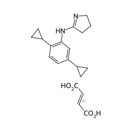 O=C(O)/C=C/C(=O)O.c1cc(C2CC2)c(NC2=NCCC2)cc1C1CC1